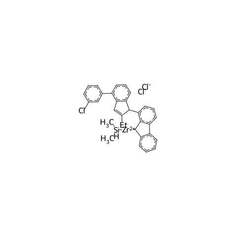 CCC1=Cc2c(-c3cccc(Cl)c3)cccc2C1c1cccc2c1[CH]([Zr+2][SiH](C)C)c1ccccc1-2.[Cl-].[Cl-]